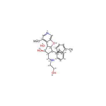 COc1cncc2c1[C@]1(O)[C@H](O)C(CNCCO)C(c3ccccc3)[C@]1(c1ccc(C#N)cc1)O2